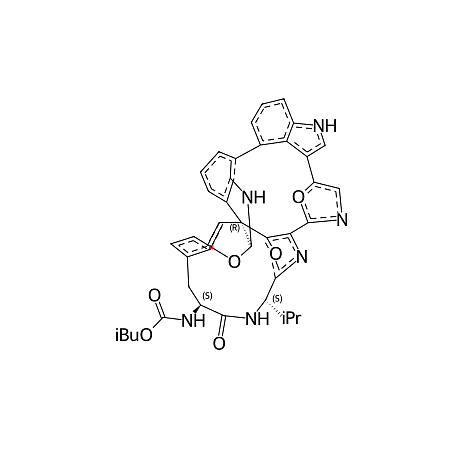 CC(C)COC(=O)N[C@H]1Cc2ccc3c(c2)[C@]24c5cccc(c5NC2O3)-c2cccc3[nH]cc(c23)-c2cnc(o2)-c2nc(oc24)[C@H](C(C)C)NC1=O